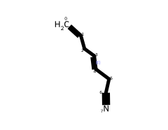 C=CC/C=C/CC#N